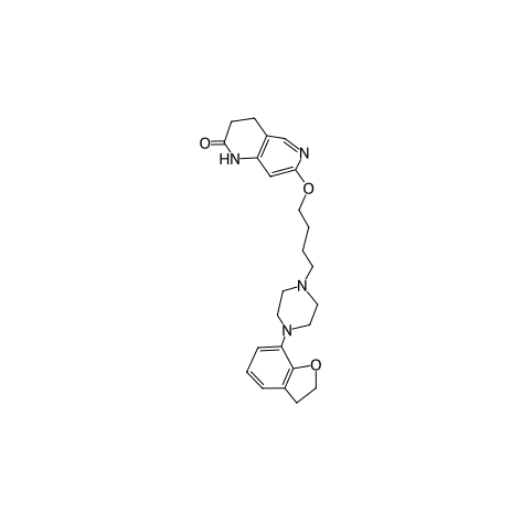 O=C1CCc2cnc(OCCCCN3CCN(c4cccc5c4OCC5)CC3)cc2N1